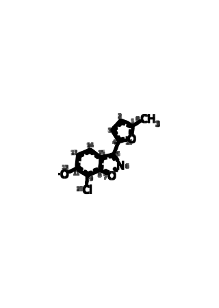 Cc1ccc(-c2noc3c(Cl)c([O])ccc23)o1